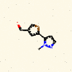 Cn1nccc1-c1cc(C=O)cs1